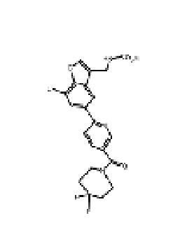 O=C(O)NCc1coc2c(Cl)cc(-c3ccc(C(=O)N4CCC(F)(F)CC4)cn3)cc12